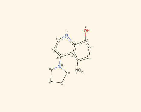 O=[N+]([O-])c1ccc(O)c2nccc(N3CCCC3)c12